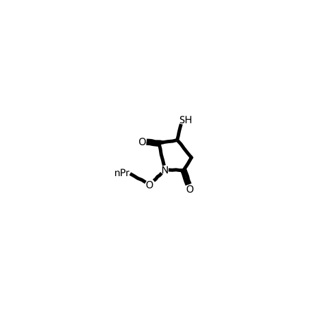 CCCON1C(=O)CC(S)C1=O